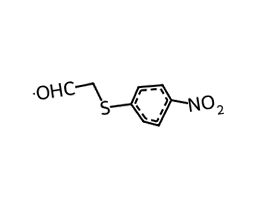 O=[C]CSc1ccc([N+](=O)[O-])cc1